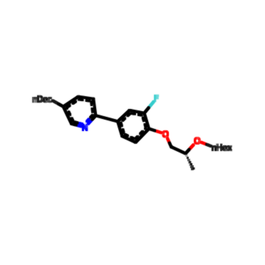 CCCCCCCCCCc1ccc(-c2ccc(OC[C@@H](C)OCCCCCC)c(F)c2)nc1